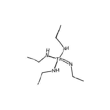 CC[N]=[Ta]([NH]CC)([NH]CC)[NH]CC